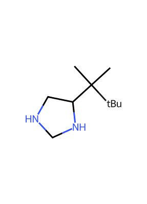 CC(C)(C)C(C)(C)C1CNCN1